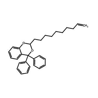 C=CCCCCCCCCC1Oc2ccccc2C(c2ccccc2)(c2ccccc2)O1